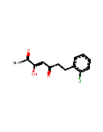 COC(=O)/C(O)=C/C(=O)CCc1ccccc1Cl